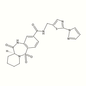 O=C(NCc1cnc(-n2cccn2)s1)c1ccc2c(c1)NC(=O)[C@@H]1CCCCN1S2(=O)=O